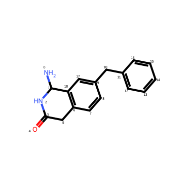 NC1NC(=O)Cc2ccc(Cc3ccccc3)cc21